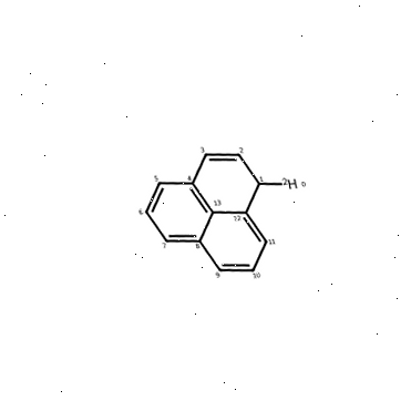 [2H]C1C=Cc2cccc3cccc1c23